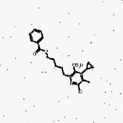 Cc1c(Cl)nc(CCCCCOC(=O)c2ccccc2)c(C(=O)O)c1C1CC1